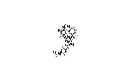 COc1ccc(Nc2nc(NCCC3CCC(N)CC3)nc(NC3CCCCCC3)n2)cc1F